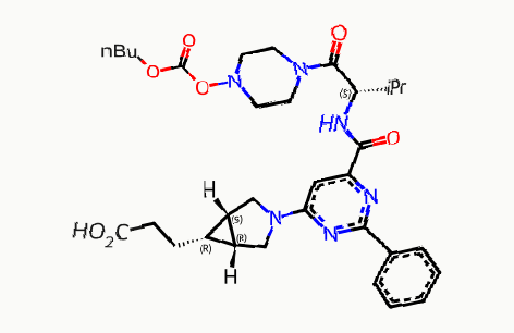 CCCCOC(=O)ON1CCN(C(=O)[C@@H](NC(=O)c2cc(N3C[C@@H]4[C@H](CCC(=O)O)[C@@H]4C3)nc(-c3ccccc3)n2)C(C)C)CC1